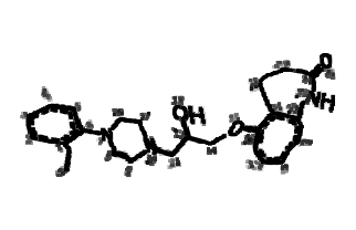 Cc1ccccc1N1CCN(CC(O)COc2cccc3c2CCC(=O)N3)CC1